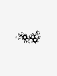 Cc1cc(C(F)(C(F)(F)F)C(F)(F)F)ccc1NC(=O)c1ccc[n+]([O-])c1C(=O)NC(C)C